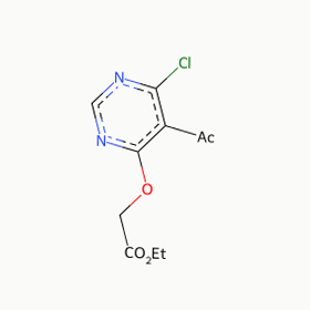 CCOC(=O)COc1ncnc(Cl)c1C(C)=O